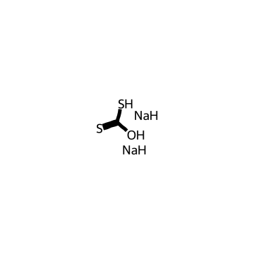 OC(=S)S.[NaH].[NaH]